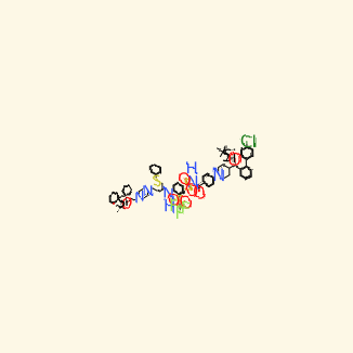 CC(C)(C)[Si](C)(C)O[C@@H](c1ccccc1-c1ccc(Cl)cc1)C1CCN(c2ccc(C(=O)NS(=O)(=O)c3ccc(NC(CCN4CCN(CCO[Si](c5ccccc5)(c5ccccc5)C(C)(C)C)CC4)CSc4ccccc4)c(S(=O)(=O)C(F)(F)F)c3)cc2)CC1